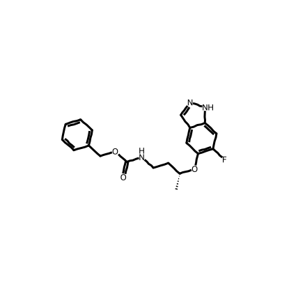 C[C@H](CCNC(=O)OCc1ccccc1)Oc1cc2cn[nH]c2cc1F